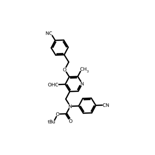 Cc1ncc(CN(C(=O)OC(C)(C)C)c2ccc(C#N)cc2)c(C=O)c1OCc1ccc(C#N)cc1